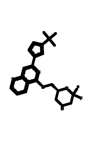 CC(C)(C)n1ccc(-c2cc3ncccc3c(OC[C@@H]3CNCC(F)(F)O3)n2)c1